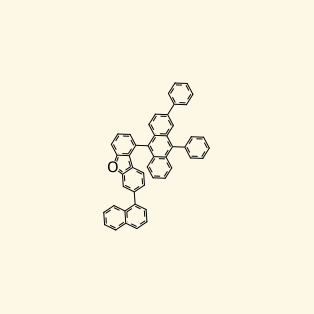 c1ccc(-c2ccc3c(-c4cccc5oc6cc(-c7cccc8ccccc78)ccc6c45)c4ccccc4c(-c4ccccc4)c3c2)cc1